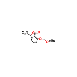 CCCCOCCOc1cccc2c1B(O)OC2C[N+](=O)[O-]